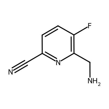 N#Cc1ccc(F)c(CN)n1